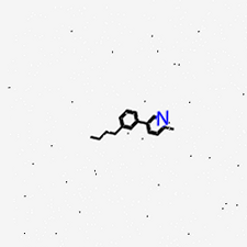 CCCCc1cccc(-c2ccc(C)nc2)c1